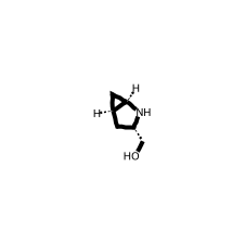 OC[C@@H]1C[C@H]2C[C@H]2N1